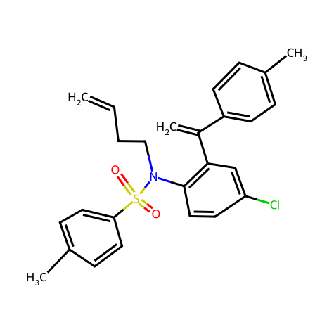 C=CCCN(c1ccc(Cl)cc1C(=C)c1ccc(C)cc1)S(=O)(=O)c1ccc(C)cc1